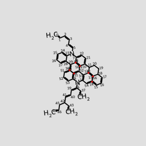 C=C/C=C\C=C\N(c1ccc(C2C=C3C=CC=CC3CC2)cc1)c1ccccc1C1=CC=C(C2=C(N(/C(C=C)=C/C=C/C(C=C)CC=C)c3ccccc3)C=CCC2)CC1